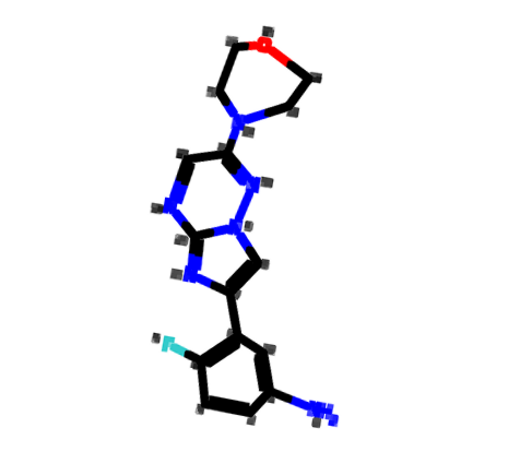 Nc1ccc(F)c(-c2cn3nc(N4CCOCC4)cnc3n2)c1